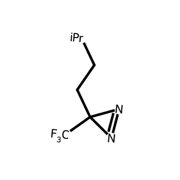 CC(C)CCC1(C(F)(F)F)N=N1